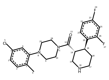 Cc1ccc(Cl)cc1N1CCN(C(=O)[C@H]2CNCC[C@@H]2c2ccc(F)cc2F)CC1